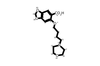 O=C(O)c1cc2c(cc1OCCCCN1CCOCC1)OCO2